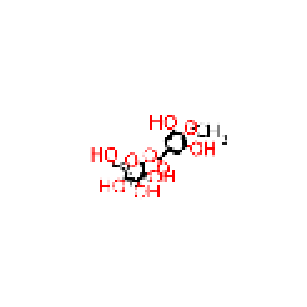 COc1c(O)cc(C(=O)OC2O[C@H](CO)[C@@H](O)[C@H](O)[C@H]2O)cc1O